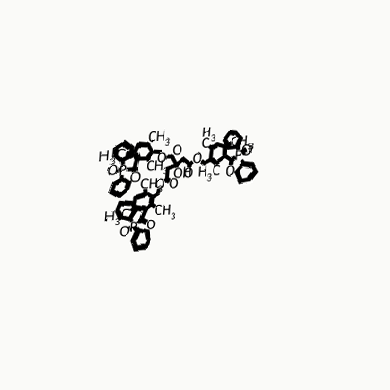 Cc1cc(C)c(C(=O)P(=O)(c2ccccc2)c2ccccc2)c(C)c1COC(=O)CC(O)(CC(=O)OCc1c(C)cc(C)c(C(=O)P(=O)(c2ccccc2)c2ccccc2)c1C)C(=O)OCc1c(C)cc(C)c(C(=O)P(=O)(c2ccccc2)c2ccccc2)c1C